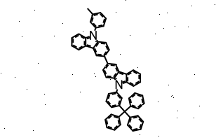 Cc1cccc(-n2c3ccccc3c3cc(-c4ccc5c(c4)c4ccccc4n5-c4cccc(C(c5ccccc5)(c5ccccc5)c5ccccc5)c4)ccc32)c1